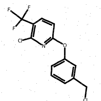 FC(F)(F)c1ccc(Oc2cccc(CCl)c2)nc1Cl